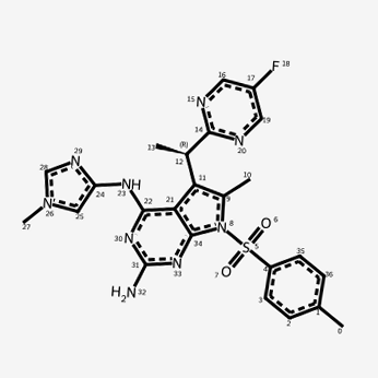 Cc1ccc(S(=O)(=O)n2c(C)c([C@@H](C)c3ncc(F)cn3)c3c(Nc4cn(C)cn4)nc(N)nc32)cc1